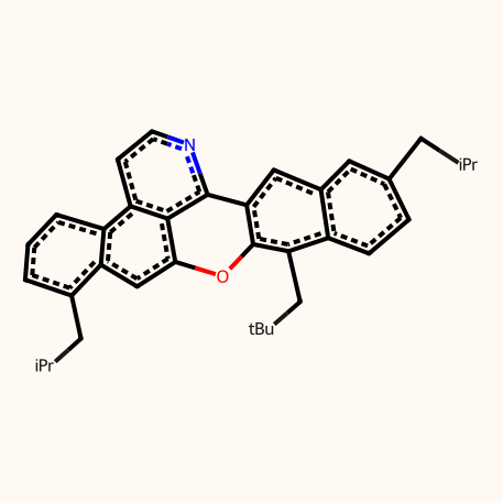 CC(C)Cc1ccc2c(CC(C)(C)C)c3c(cc2c1)-c1nccc2c1c(cc1c(CC(C)C)cccc12)O3